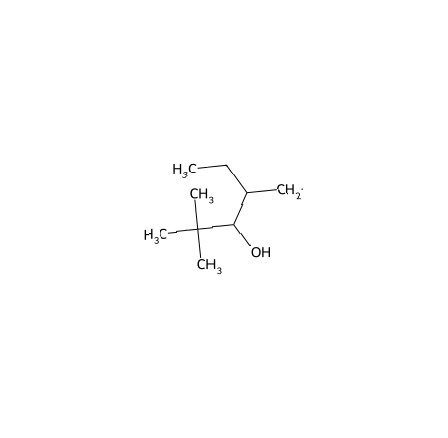 [CH2]C(CC)C(O)C(C)(C)C